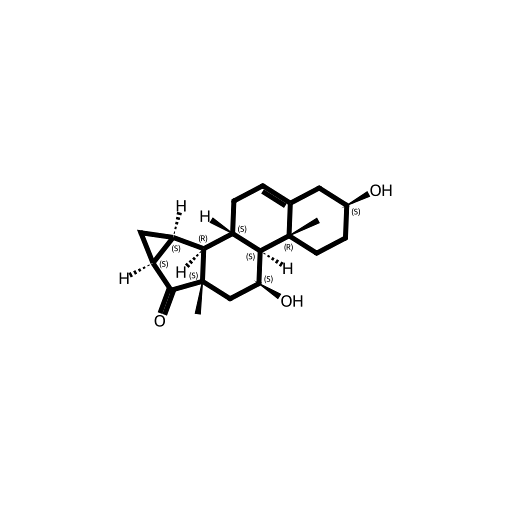 C[C@]12CC[C@H](O)CC1=CC[C@@H]1[C@@H]2[C@@H](O)C[C@]2(C)C(=O)[C@H]3C[C@H]3[C@@H]12